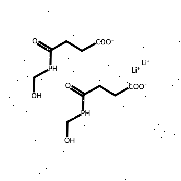 O=C([O-])CCC(=O)PCO.O=C([O-])CCC(=O)PCO.[Li+].[Li+]